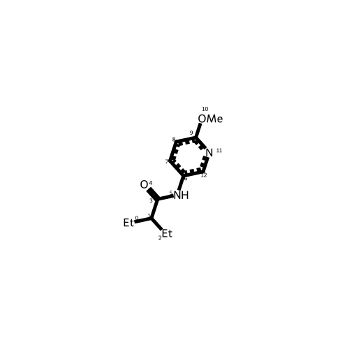 CCC(CC)C(=O)Nc1ccc(OC)nc1